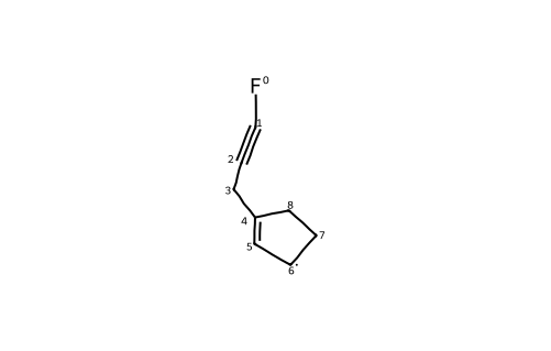 FC#CCC1=C[CH]CC1